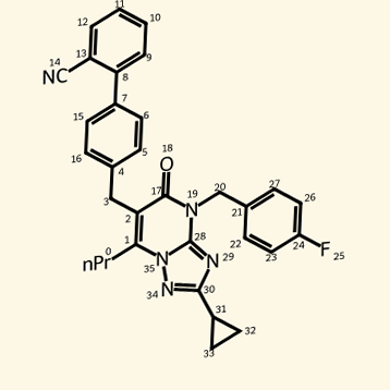 CCCc1c(Cc2ccc(-c3ccccc3C#N)cc2)c(=O)n(Cc2ccc(F)cc2)c2nc(C3CC3)nn12